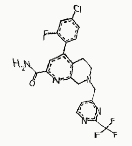 NC(=O)c1cc(-c2ccc(Cl)cc2F)c2c(n1)CN(Cc1ccnc(C(F)(F)F)n1)CC2